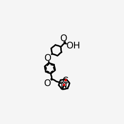 O=C(O)C1CCC(Oc2ccc(C(=O)N3CC4CCC(CC4)C3)cc2)CC1